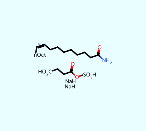 CCCCCCCC/C=C\CCCCCCCC(N)=O.O=C(O)CCC(=O)OS(=O)(=O)O.[NaH].[NaH]